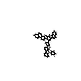 c1ccc(-n2c3ccccc3c3ccc(-c4ccc(-c5cc6c7ccc8ccccc8c7sc6c6nc7c8ccc9ccccc9c8ccc7n56)cc4)cc32)cc1